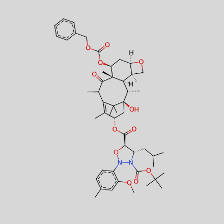 COc1cc(C)ccc1N1O[C@@H](C(=O)O[C@H]2C[C@@]3(O)[C@@H](C)[C@@H]4[C@]5(C)CO[C@@H]5C[C@H](OC(=O)OCc5ccccc5)[C@@]4(C)C(=O)C(C)C(=C2C)C3(C)C)[C@H](CC(C)C)N1C(=O)OC(C)(C)C